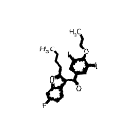 CCCCc1oc2cc(F)ccc2c1C(=O)c1cc(I)c(OCCC)c(I)c1